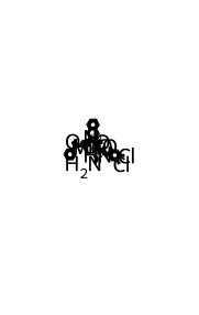 COc1cc(Cl)c(Cl)cc1NC(=O)[C@H](CCN)NC(=O)[C@@H]1Cc2ccccc2CN1C(=O)CCC(=O)c1ccccc1